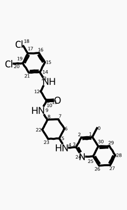 Cc1cc(NC2CCC(NC(=O)CNc3ccc(Cl)c(Cl)c3)CC2)nc2ccccc12